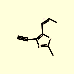 C#Cc1nc(C)sc1/C=C\C